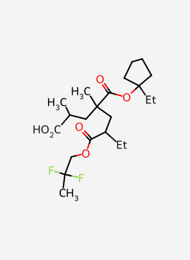 CCC(CC(C)(CC(C)C(=O)O)C(=O)OC1(CC)CCCC1)C(=O)OCC(C)(F)F